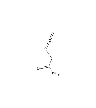 [CH]=C=CCC(N)=O